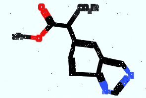 CCCOC(=O)C(C(=O)OCC)c1ccc2ncncc2c1